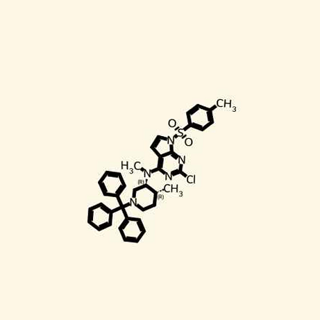 Cc1ccc(S(=O)(=O)n2ccc3c(N(C)[C@H]4CN(C(c5ccccc5)(c5ccccc5)c5ccccc5)CC[C@H]4C)nc(Cl)nc32)cc1